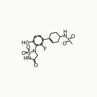 CS(=O)(=O)NC1CC=C(c2ccc(O)c(N3CC(=O)NS3(=O)=O)c2F)CC1